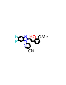 COc1cccc(/C=C/c2nc3cc(F)c(F)cc3n2C2=NC=C(C#N)CC2)c1O